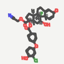 C[C@]12C=CC(=O)C=C1CC[C@H]1[C@@H]3CC[C@@](OC(=O)c4ccc(Oc5ccc(O)c(Cl)c5)cc4)(C(=O)OCC#N)[C@@]3(C)C[C@H](O)C12F